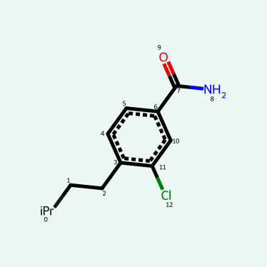 CC(C)CCc1ccc(C(N)=O)cc1Cl